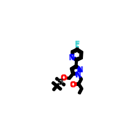 CCC(=O)Cn1nc(-c2ccc(F)cn2)cc1CO[Si](C)(C)C(C)(C)C